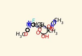 COc1ccc(-n2nnc3c(F)cc(/C=C(\C)[C@H]4OC(=O)C[C@@H](O)CC[C@@H](C)[C@@H](OC(=O)N5CCN(C)CC5)/C=C/[C@@H]4C)cc32)cc1